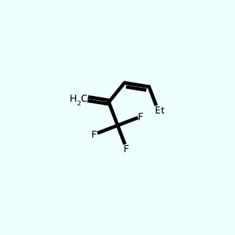 C=C(/C=C\CC)C(F)(F)F